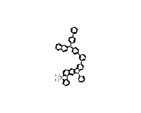 C[Si]1(C)c2ccccc2-c2c1ccc1cc3c4cc(-c5cccc(-c6ccc(N(c7ccc(-c8ccccc8)cc7)c7ccc8ccccc8c7)cc6)c5)ccc4n(-c4ccccc4)c3cc21